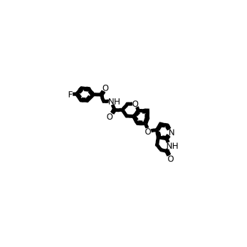 O=C1CCc2c(Oc3ccc4c(c3)CC(C(=O)NCC(=O)c3ccc(F)cc3)CO4)ccnc2N1